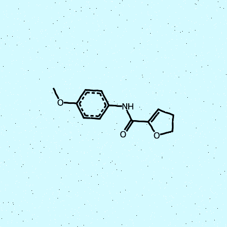 COc1ccc(NC(=O)C2=CCCO2)cc1